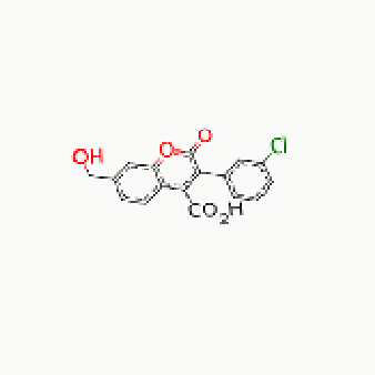 O=C(O)c1c(-c2cccc(Cl)c2)c(=O)oc2cc(CO)ccc12